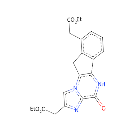 CCOC(=O)Cc1cn2c3c([nH]c(=O)c2n1)-c1cccc(CC(=O)OCC)c1C3